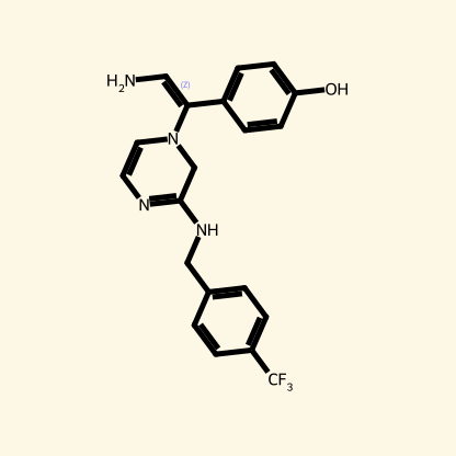 N/C=C(/c1ccc(O)cc1)N1C=CN=C(NCc2ccc(C(F)(F)F)cc2)C1